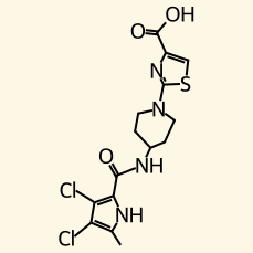 Cc1[nH]c(C(=O)NC2CCN(c3nc(C(=O)O)cs3)CC2)c(Cl)c1Cl